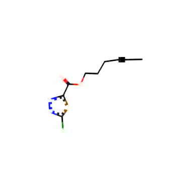 CC#CCCCOC(=O)c1nnc(Cl)s1